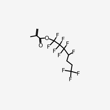 C=C(C)C(=O)OC(F)(F)C(F)(F)C(F)(F)C(F)CCC(F)(F)F